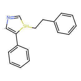 [C]1=C(c2ccccc2)[SH](CCc2ccccc2)C=N1